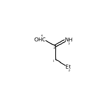 CCCC(=N)C=O